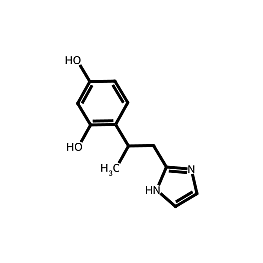 CC(Cc1ncc[nH]1)c1ccc(O)cc1O